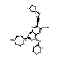 COc1cc2c(NC3CCOCC3)nc(N3CCCN(C)CC3)nc2cc1C#CCN1CCCC1